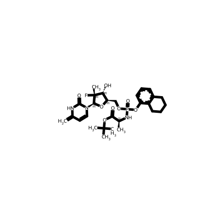 C=C1C=CN([C@@H]2O[C@H](COP(=O)(N[C@@H](C)C(=O)OC(C)(C)C)Oc3cccc4c3CCCC4)[C@@H](O)[C@@]2(C)F)C(=O)N1